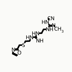 C/N=C(/NC#N)NCCNC(=N)NCCSCc1ncco1